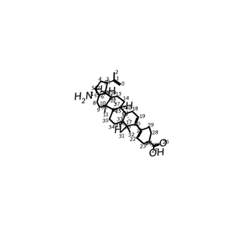 C=C(C)[C@@H]1CC[C@]2(N)CC[C@]3(C)[C@H](CC[C@@H]4[C@@]5(C)CC=C(C6=CC[C@H](C(=O)O)CC6)C(C)(C)[C@@H]5CC[C@]43C)[C@@H]12